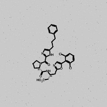 O=C(O)C[C@@H](Cc1ncc(-c2c(Cl)cccc2Cl)o1)NC(=O)[C@@H]1CCCN1C(=O)c1ncc(CCCc2ccccc2)[nH]1